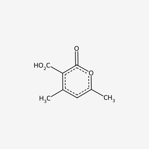 Cc1cc(C)c(C(=O)O)c(=O)o1